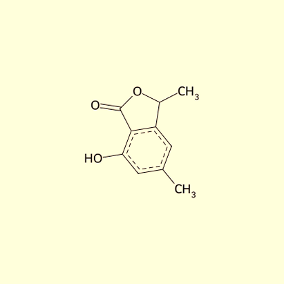 Cc1cc(O)c2c(c1)C(C)OC2=O